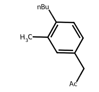 CCCCc1ccc(CC(C)=O)cc1C